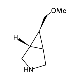 COC[C@H]1C2CNC[C@@H]21